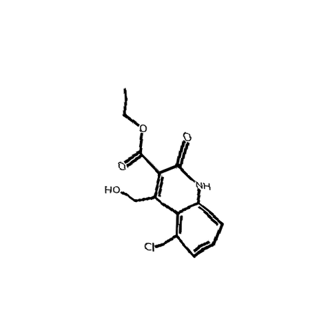 CCOC(=O)c1c(CO)c2c(Cl)cccc2[nH]c1=O